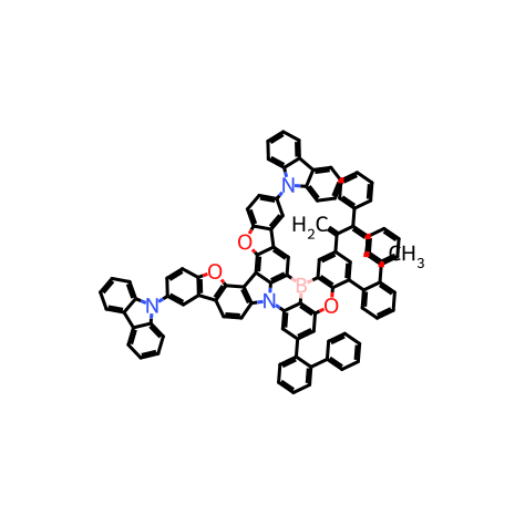 C=C(/C(=C\C=C/C)c1ccccc1)c1cc2c(c(-c3ccccc3-c3ccccc3)c1)Oc1cc(-c3ccccc3-c3ccccc3)cc3c1B2c1cc2c4cc(-n5c6ccccc6c6ccccc65)ccc4oc2c2c4c5oc6ccc(-n7c8ccccc8c8ccccc87)cc6c5ccc4n-3c12